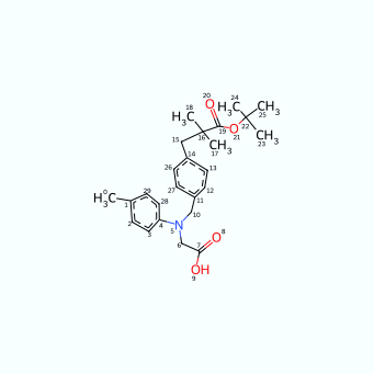 Cc1ccc(N(CC(=O)O)Cc2ccc(CC(C)(C)C(=O)OC(C)(C)C)cc2)cc1